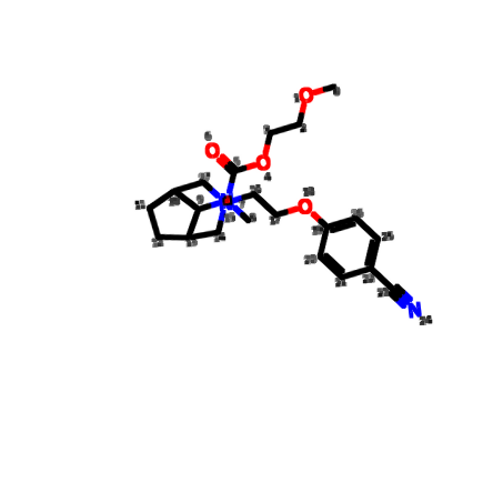 COCCOC(=O)N(C)C1C2CCC1CN(CCOc1ccc(C#N)cc1)C2